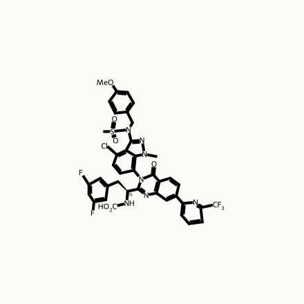 COc1ccc(CN(c2nn(C)c3c(-n4c([C@H](Cc5cc(F)cc(F)c5)NC(=O)O)nc5cc(-c6cccc(C(F)(F)F)n6)ccc5c4=O)ccc(Cl)c23)S(C)(=O)=O)cc1